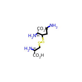 NCCC(SSC[C@H](N)C(=O)O)[C@H](N)C(=O)O